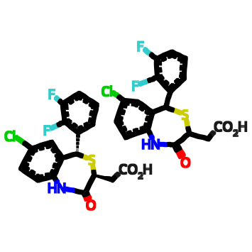 O=C(O)CC1SC(c2cccc(F)c2F)c2cc(Cl)ccc2NC1=O.O=C(O)C[C@@H]1S[C@@H](c2cccc(F)c2F)c2cc(Cl)ccc2NC1=O